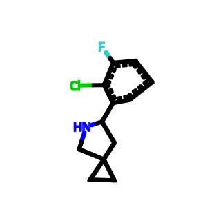 Fc1cccc(C2CC3(CC3)CN2)c1Cl